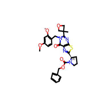 COc1ccc(Cn2c(C3(C)COC3)nc3sc([C@H]4CCCN4C(=O)OCc4ccccc4)nc3c2=O)c(OC)c1